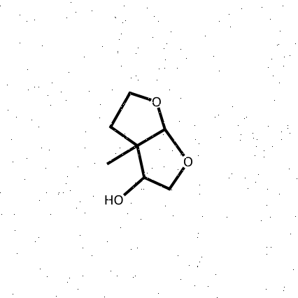 CC12CCOC1OCC2O